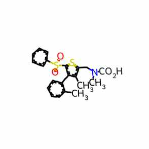 Cc1ccccc1-c1c(S(=O)(=O)c2ccccc2)sc(CN(C)C(=O)O)c1C